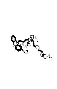 COCCOCC[N+](C)(C)CCCN1c2ccccc2Sc2ccc(Cl)cc21